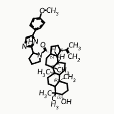 C=C(C)[C@@H]1CC[C@]2(C(=O)N3CCCC3c3ncc(-c4ccc(OC)cc4)[nH]3)CC[C@]3(C)[C@H](CCC4[C@@]5(C)CC[C@H](O)C(C)(C)C5CC[C@]43C)[C@@H]12